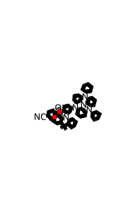 CC1(C)c2ccccc2N(c2cc(N3c4cccc5c4N4c6c(cccc6N(c6ccccc6)c6cccc3c64)N5c3ccccc3)ccc2S(=O)(=O)c2ccc(C#N)cc2)c2ccccc21